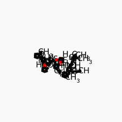 C#CCOCc1cc(NC(=O)CNC(=O)C(NC)C(C)C)ccc1C[N+]1(C)CCN(CCOc2ccc(-c3c(-c4ccc(F)cc4)sc4ncnc(O[C@H](Cc5ccccc5OCc5ccnc(-c6ccccc6OC)n5)C(=O)O)c34)c(C)c2Cl)CC1